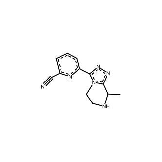 CC1NCCn2c(-c3cccc(C#N)n3)nnc21